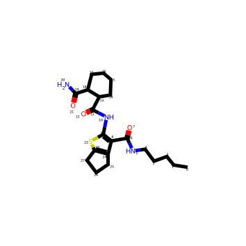 CCCCCNC(=O)c1c(NC(=O)C2CCCCC2C(N)=O)sc2c1CCC2